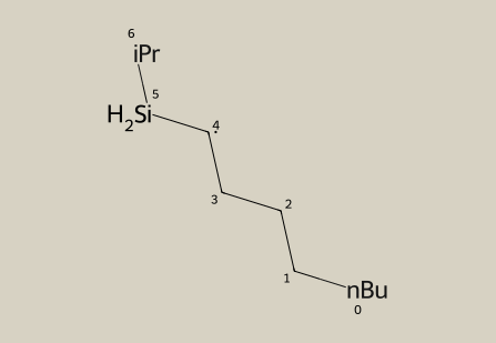 CCCCCCC[CH][SiH2]C(C)C